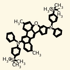 Cc1ccc2c(N(c3ccccc3)c3ccc([Si](C)(C)C)cc3)cc3c4cc(C)cc5c4c(cc3c2c1)-c1ccc(N(c2ccccc2)c2ccc([Si](C)(C)C)cc2)cc1O5